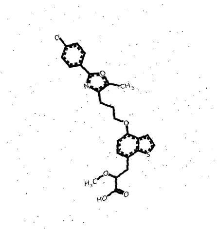 COC(Cc1ccc(OCCCc2nc(-c3ccc(Cl)cc3)oc2C)c2ccsc12)C(=O)O